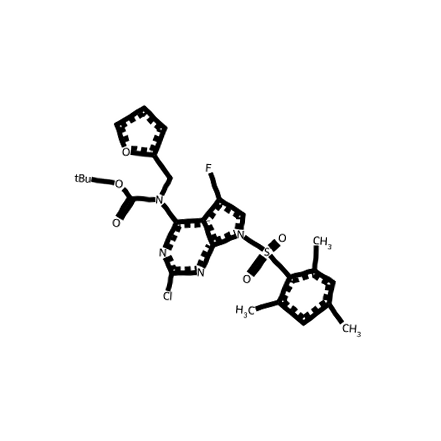 Cc1cc(C)c(S(=O)(=O)n2cc(F)c3c(N(Cc4ccco4)C(=O)OC(C)(C)C)nc(Cl)nc32)c(C)c1